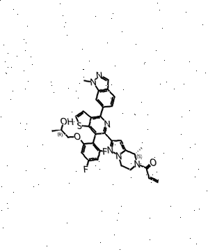 C=CC(=O)N1CCn2nc(-c3nc(-c4ccc5cnn(C)c5c4)c4ccsc4c3-c3c(F)cc(F)cc3OC[C@@H](C)O)cc2[C@@H]1C